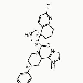 O=C([C@@H]1CNC[C@]12CCCc1nc(Cl)ccc12)N1CC[C@@H](c2ccccc2)CC1c1ncc[nH]1